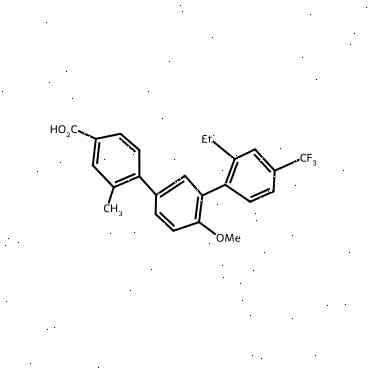 CCc1cc(C(F)(F)F)ccc1-c1cc(-c2ccc(C(=O)O)cc2C)ccc1OC